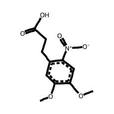 COc1cc(CCC(=O)O)c([N+](=O)[O-])cc1OC